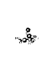 C#CC(=O)N1CCC(CNc2ncnc(N)c2-c2ccc(Oc3ccccc3)cc2)CC1